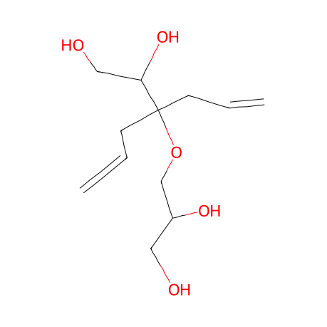 C=CCC(CC=C)(OCC(O)CO)C(O)CO